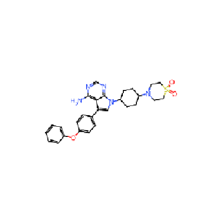 Nc1ncnc2c1c(-c1ccc(Oc3ccccc3)cc1)cn2C1CCC(N2CCS(=O)(=O)CC2)CC1